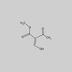 COC(=O)C(=CO)C(C)=O